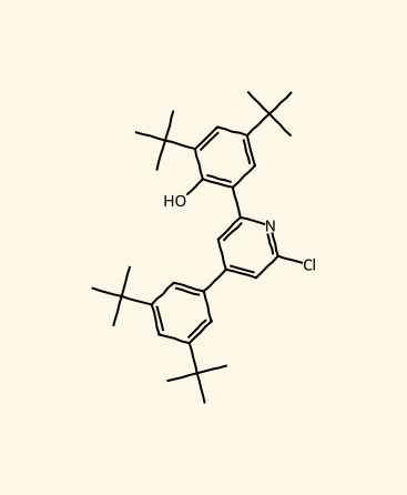 CC(C)(C)c1cc(-c2cc(Cl)nc(-c3cc(C(C)(C)C)cc(C(C)(C)C)c3O)c2)cc(C(C)(C)C)c1